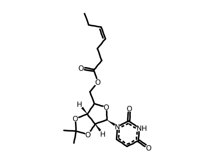 CC/C=C\CCC(=O)OCC1O[C@@H](n2ccc(=O)[nH]c2=O)[C@@H]2OC(C)(C)O[C@H]12